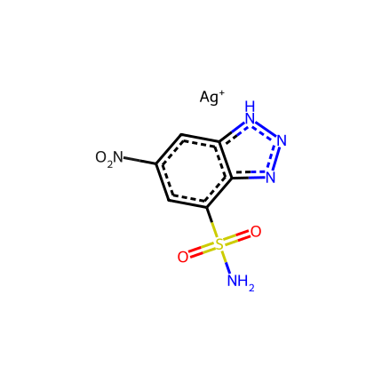 NS(=O)(=O)c1cc([N+](=O)[O-])cc2[nH]nnc12.[Ag+]